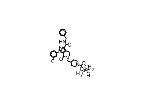 CC(C)(C)OC(=O)N1CCC(CN2CCc3c(C(=O)NCc4ccccc4)nn(-c4cccc(Cl)c4)c3C2=O)CC1